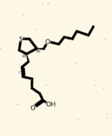 CCCCCCOC[C@@H]1CSC[C@@H]1C/C=C\CCCC(=O)O